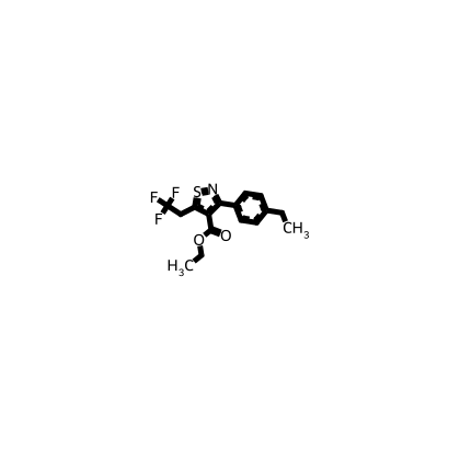 CCOC(=O)c1c(-c2ccc(CC)cc2)nsc1CC(F)(F)F